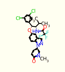 CC(C)[C@H](NC(=O)C(F)(F)F)[C@H](Oc1ccc2c(cnn2-c2ccc(=O)n(C)c2)c1)c1cc(Cl)cc(Cl)c1